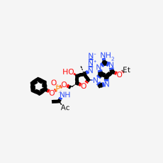 CCOc1nc(N)nc2c1ncn2[C@@H]1O[C@H](COP(=O)(N[C@@H](C)C(C)=O)Oc2ccccc2)[C@@H](O)[C@@]1(C)N=[N+]=[N-]